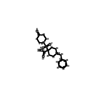 O=C1CCN(S(=O)(=O)C2(C(=O)O)CCN(Cc3ccccc3)CC2)CC1